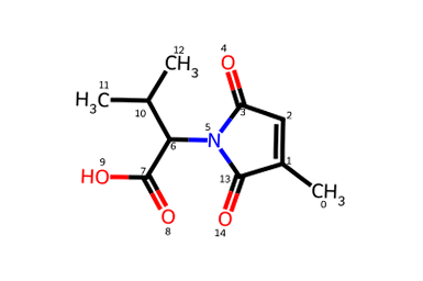 CC1=CC(=O)N(C(C(=O)O)C(C)C)C1=O